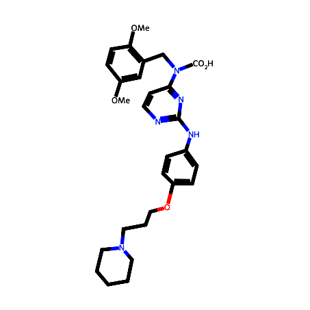 COc1ccc(OC)c(CN(C(=O)O)c2ccnc(Nc3ccc(OCCCN4CCCCC4)cc3)n2)c1